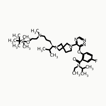 CCN(C(=O)c1cc(F)ccc1Oc1nncnc1N1CCC2(C1)CN([C@H](CCCN(C)CCO[Si](C)(C)C(C)(C)C)C(C)C)C2)C(C)C